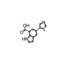 O=C(O)c1cc(-c2cncs2)cc2cc[nH]c12